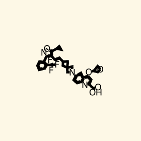 O=C(O)c1cc(OC2COC2)c2cc(N3CC4(CC(/C=C/c5c(-c6ccccc6C(F)(F)F)noc5C5CC5)C4)C3)ccc2n1